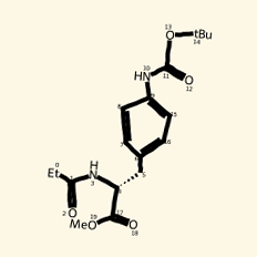 CCC(=O)N[C@H](Cc1ccc(NC(=O)OC(C)(C)C)cc1)C(=O)OC